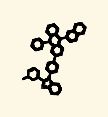 CC1C=CC=C(c2nc3ccccc3n2-c2ccc(-c3ccc4c(-c5ccc6ccccc6c5)c5ccccc5c(-c5ccccc5)c4c3)cc2)C1